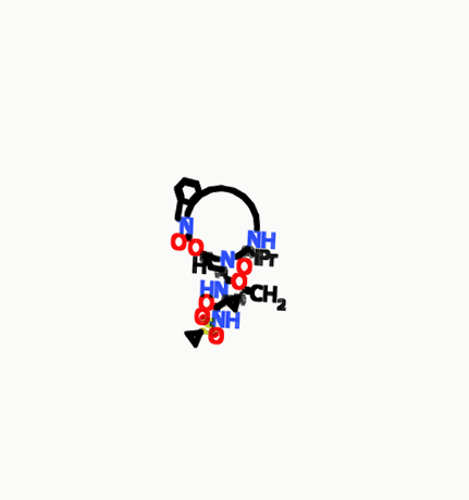 C=C[C@@H]1C[C@]1(NC(=O)[C@@H]1C[C@@H]2CN1C(=O)[C@H](C(C)C)NCCCCCCCc1cccc3c1CN(C3)C(=O)O2)C(=O)NS(=O)(=O)C1CC1